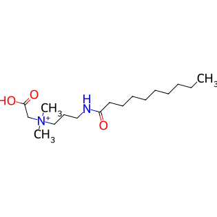 CCCCCCCCCC(=O)NCCC[N+](C)(C)CC(=O)O